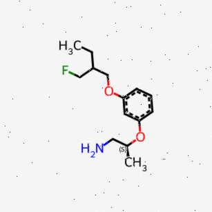 CCC(CF)COc1cccc(O[C@@H](C)CN)c1